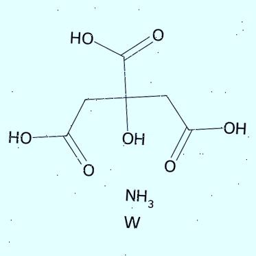 N.O=C(O)CC(O)(CC(=O)O)C(=O)O.[W]